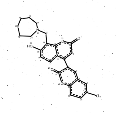 O=c1cc(-c2cc3cc(Cl)ccc3oc2=O)c2ccc(O)c(CN3CCCCCC3)c2o1